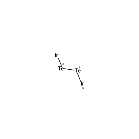 [Ir][Te][Te][Ir]